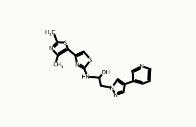 Cc1nc(C)c(-c2csc(NC(O)Cn3cc(-c4cccnc4)cn3)n2)s1